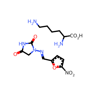 NCCCCC(N)C(=O)O.O=C1CN(/N=C/c2ccc([N+](=O)[O-])o2)C(=O)N1